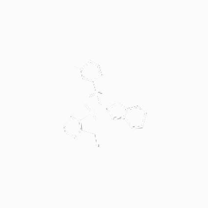 Cc1cccc(S(=O)(=O)N(c2nc3ccccc3s2)S(=O)(=O)c2ccccc2CN)c1